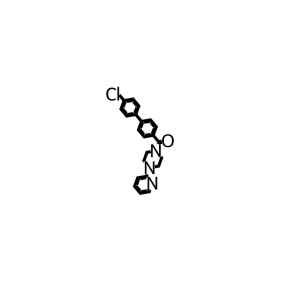 O=C(c1ccc(-c2ccc(Cl)cc2)cc1)N1CCN(c2ccccn2)CC1